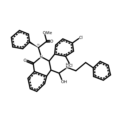 COC(=O)[C@H](c1ccccc1)N1C(=O)c2ccccc2C(C(O)NCCc2ccccc2)C1c1ccc(Cl)cc1Cl